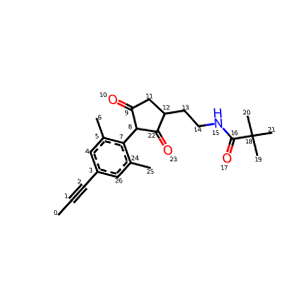 CC#Cc1cc(C)c(C2C(=O)CC(CCNC(=O)C(C)(C)C)C2=O)c(C)c1